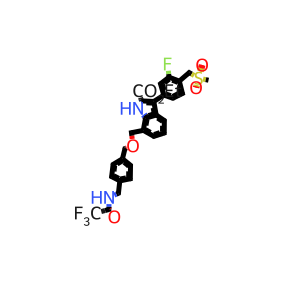 CCOC(=O)c1[nH]c2c(COCc3ccc(CNC(=O)C(F)(F)F)cc3)cccc2c1-c1ccc(CS(C)(=O)=O)c(F)c1